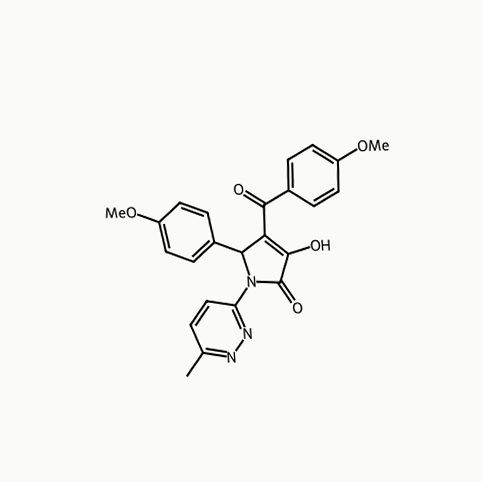 COc1ccc(C(=O)C2=C(O)C(=O)N(c3ccc(C)nn3)C2c2ccc(OC)cc2)cc1